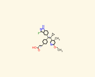 CCOc1cc(C)c(/C(=C(\c2ccc(/C=C/C(=O)O)cc2)c2ccc3[nH]nc(F)c3c2)C2CC2)cn1